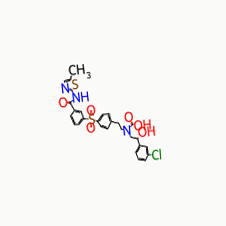 Cc1cnc(NC(=O)c2cccc(S(=O)(=O)c3ccc(CCN(C[C@H](O)c4cccc(Cl)c4)C(=O)O)cc3)c2)s1